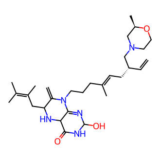 C=C[C@H](C/C=C(\C)CCCN1C(=C)C(CC(C)=C(C)C)NC2C(=O)NC(O)N=C21)CN1CCO[C@H](C)C1